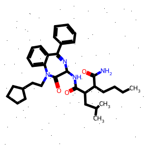 CCCCC(C(N)=O)C(CC(C)C)C(=O)NC1N=C(c2ccccc2)c2ccccc2N(CCC2CCCC2)C1=O